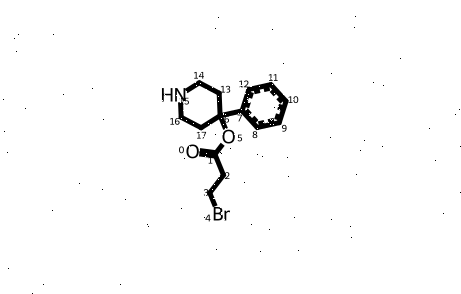 O=C(CCBr)OC1(c2ccccc2)CCNCC1